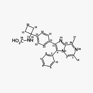 Cc1cn2c(-c3ccccc3)c(-c3ccc(C4(NC(=O)O)CCC4)cc3)nc2c(C)n1